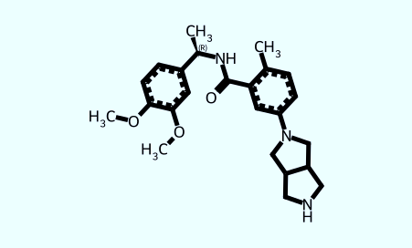 COc1ccc([C@@H](C)NC(=O)c2cc(N3CC4CNCC4C3)ccc2C)cc1OC